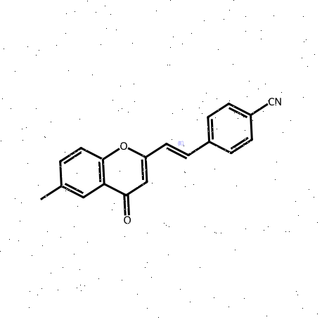 Cc1ccc2oc(/C=C/c3ccc(C#N)cc3)cc(=O)c2c1